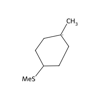 CSC1CC[C](C)CC1